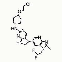 Cc1nc2ncc(-c3c[nH]c4nc(N[C@H]5CC[C@@H](OCCO)CC5)ncc34)cc2n1CC(F)F